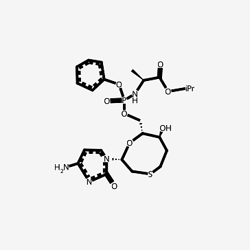 CC(C)OC(=O)[C@H](C)NP(=O)(OC[C@H]1O[C@@H](n2ccc(N)nc2=O)CSCC[C@@H]1O)Oc1ccccc1